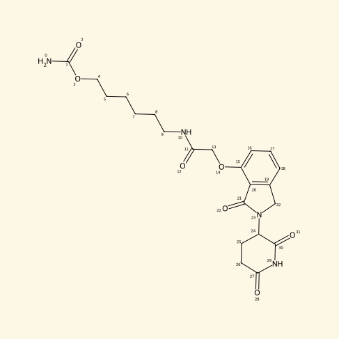 NC(=O)OCCCCCCNC(=O)COc1cccc2c1C(=O)N(C1CCC(=O)NC1=O)C2